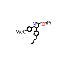 C=CCCc1ccc(C2C=C(COCCC)C=NC2c2ccc(OC)cc2)cc1